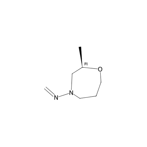 C=NN1CCCO[C@H](C)C1